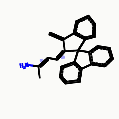 C=C1/C(=C\C=C(/C)N)C2(c3ccccc31)c1ccccc1-c1ccccc12